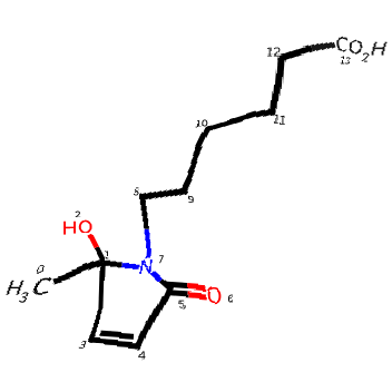 CC1(O)C=CC(=O)N1CCCCCC(=O)O